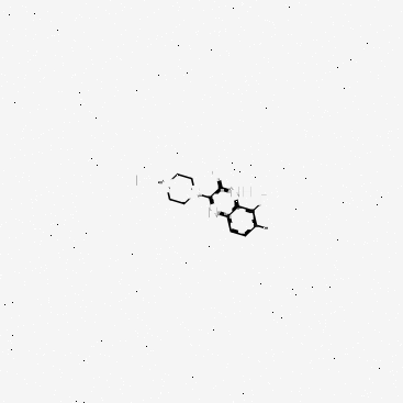 CN1CCN(c2nc3ccc(F)c(F)c3[nH]c2=O)CC1